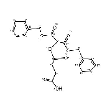 O=C(O)CCC(=O)OC(C(=O)OCc1ccccc1)C(=O)OCc1ccccc1